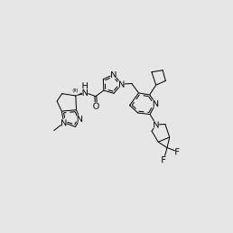 Cn1cnc2c1CC[C@H]2NC(=O)c1cnn(Cc2ccc(N3CC4C(C3)C4(F)F)nc2C2CCC2)c1